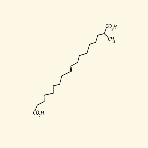 CC(CCCCCCC=CCCCCCCCC(=O)O)C(=O)O